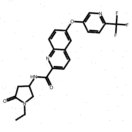 CCN1CC(NC(=O)c2ccc3cc(Oc4ccc(C(F)(F)F)nc4)ccc3n2)CC1=O